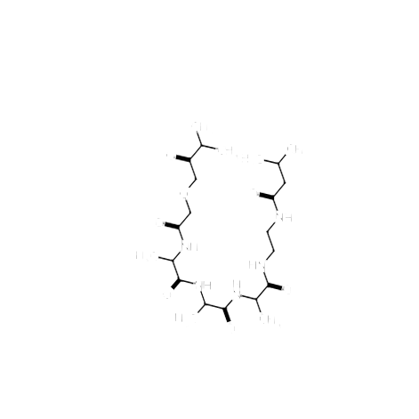 CC(C)CC(=O)NCCNC(=O)C(C)NC(=O)C(C)NC(=O)C(C)NC(=O)COCC(=O)C(C)C